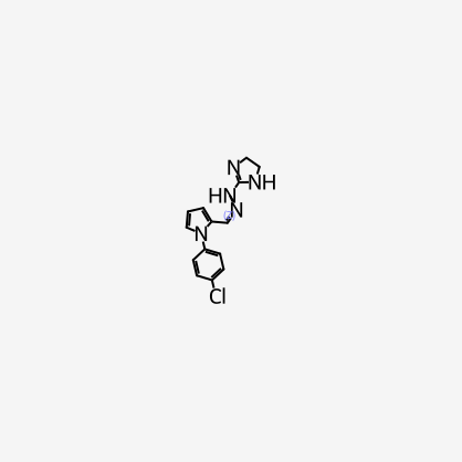 Clc1ccc(-n2cccc2/C=N\NC2=NCCN2)cc1